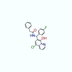 O=C(Cc1ccccc1)NC(c1ccc(F)cc1)c1cc(Cl)c2cccnc2c1O